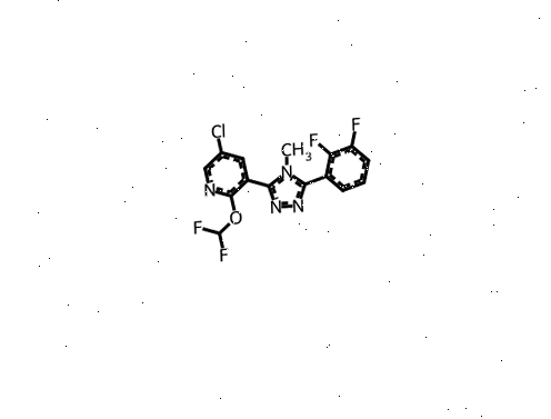 Cn1c(-c2cc(Cl)cnc2OC(F)F)nnc1-c1cccc(F)c1F